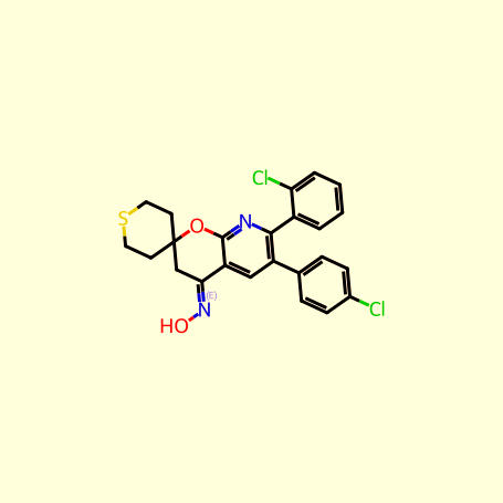 O/N=C1\CC2(CCSCC2)Oc2nc(-c3ccccc3Cl)c(-c3ccc(Cl)cc3)cc21